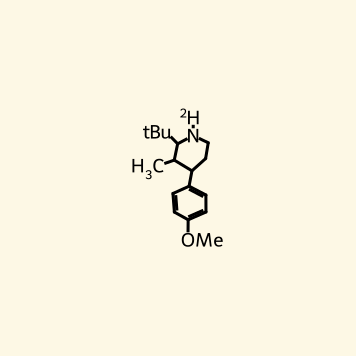 [2H]N1CCC(c2ccc(OC)cc2)C(C)C1C(C)(C)C